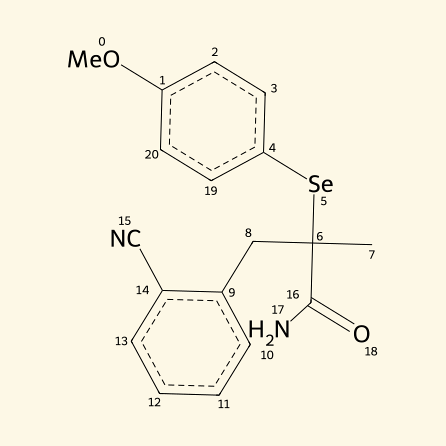 COc1ccc([Se]C(C)(Cc2ccccc2C#N)C(N)=O)cc1